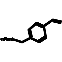 C=Cc1ccc(C[CH]CCCC)cc1